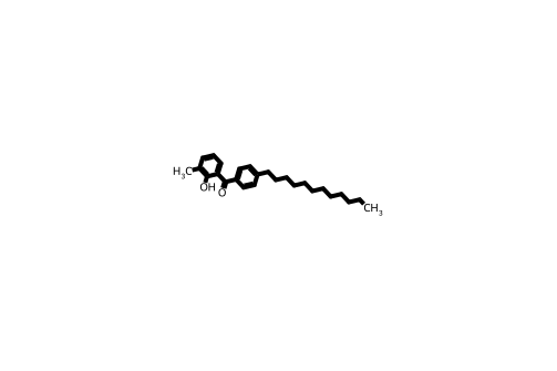 CCCCCCCCCCCCc1ccc(C(=O)c2cccc(C)c2O)cc1